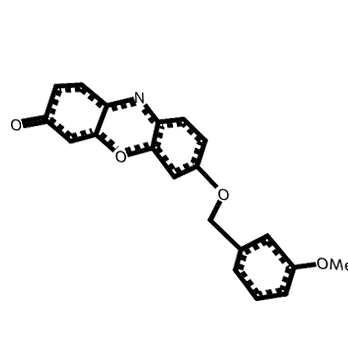 COc1cccc(COc2ccc3nc4ccc(=O)cc-4oc3c2)c1